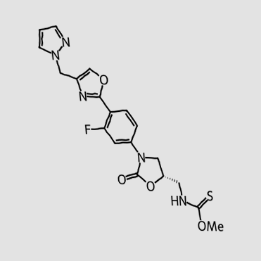 COC(=S)NC[C@H]1CN(c2ccc(-c3nc(Cn4cccn4)co3)c(F)c2)C(=O)O1